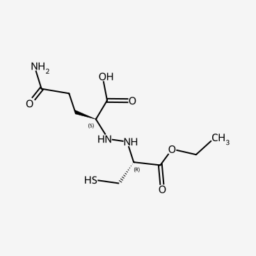 CCOC(=O)[C@H](CS)NN[C@@H](CCC(N)=O)C(=O)O